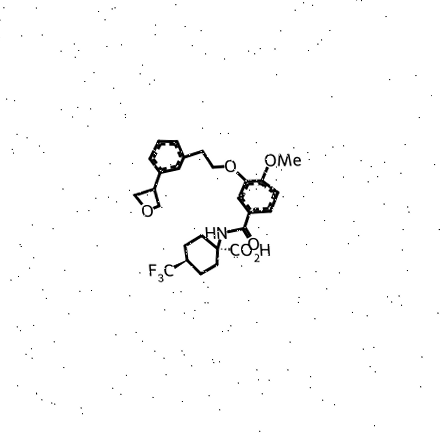 COc1ccc(C(=O)N[C@]2(C(=O)O)CC[C@H](C(F)(F)F)CC2)cc1OCCc1cccc(C2COC2)c1